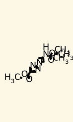 CCOC(=O)c1cnc(N2CC(NC(=O)OC(C)(C)C)C2)nc1